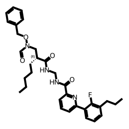 CCCCC[C@H](CN(C=O)OCc1ccccc1)C(=O)NCNC(=O)c1cccc(-c2cccc(CCC)c2F)n1